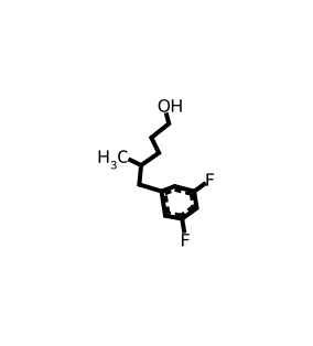 CC(CCCO)Cc1cc(F)cc(F)c1